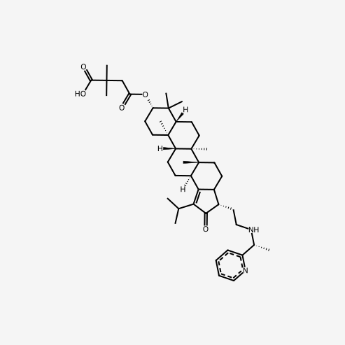 CC(C)C1=C2C(CC[C@]3(C)[C@@H]2CC[C@@H]2[C@@]4(C)CC[C@H](OC(=O)CC(C)(C)C(=O)O)C(C)(C)[C@@H]4CC[C@]23C)[C@H](CCN[C@H](C)c2ccccn2)C1=O